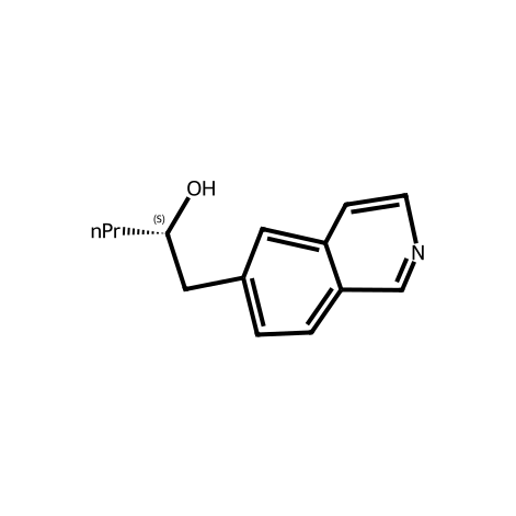 CCC[C@H](O)Cc1ccc2cnccc2c1